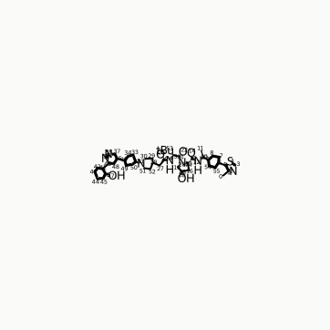 Cc1ncsc1-c1ccc([C@H](C)NC(=O)[C@@H]2C[C@@H](O)CN2C(=O)C(NC(=O)CC2CCN(c3ccc(-c4cnnc(-c5ccccc5O)c4)cc3)CC2)C(C)(C)C)cc1